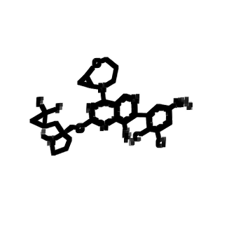 Nc1cc(Cl)c(C(F)(F)F)c(-c2ncc3c(N4CCCOC5CC54)nc(OC[C@@]45CCCN4C[C@@]4(CC4(F)F)C5)nc3c2F)c1